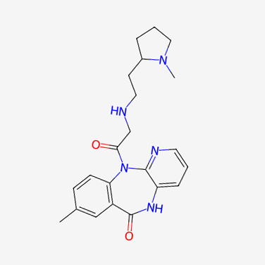 Cc1ccc2c(c1)C(=O)Nc1cccnc1N2C(=O)CNCCC1CCCN1C